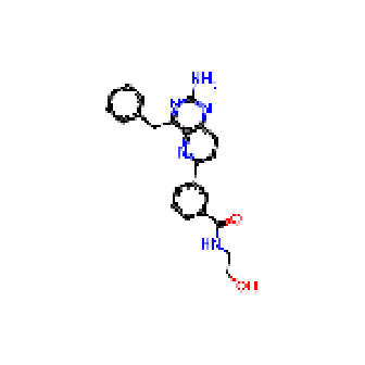 Nc1nc(Cc2ccccc2)c2nc(-c3cccc(C(=O)NCCO)c3)ccc2n1